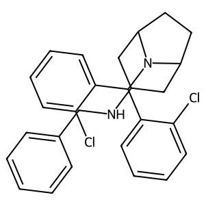 Clc1ccccc1C(c1ccccc1Cl)N1C2CCC1CC(NCc1ccccc1)C2